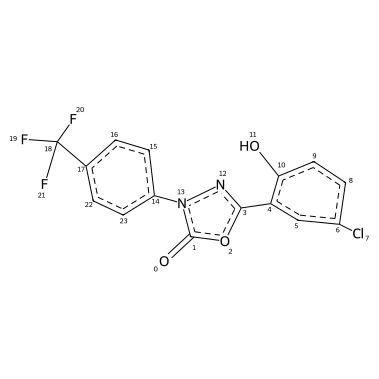 O=c1oc(-c2cc(Cl)ccc2O)nn1-c1ccc(C(F)(F)F)cc1